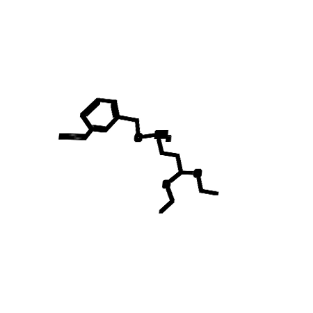 C=Cc1cccc(CO[SiH2]CCC(OCC)OCC)c1